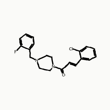 O=C(C=Cc1ccccc1Cl)N1CCN(Cc2ccccc2F)CC1